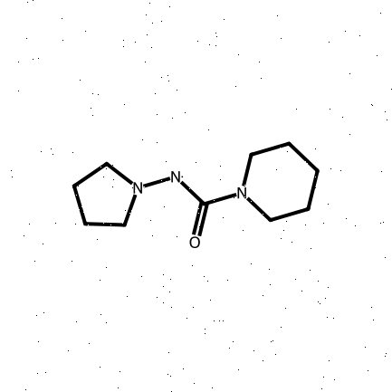 O=C([N]N1CCCC1)N1CCCCC1